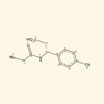 CC(C)(C)OC(=O)N[C@H](CC(=O)O)c1ccc(C#N)cc1